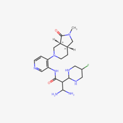 CN1C[C@@H]2CCN(c3ccncc3NC(=O)C(C(N)N)C3NCC(F)CN3)C[C@@H]2C1=O